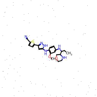 CCC(Nc1ccc(Nc2cc(-c3ccc(C#N)s3)n[nH]2)c(OC)c1)C1COCCN1